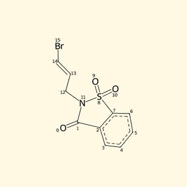 O=C1c2ccccc2S(=O)(=O)N1CC=CBr